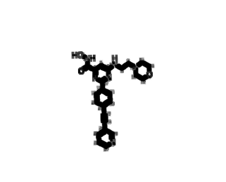 O=C(NO)c1cc(NCCN2CCOCC2)nc(-c2ccc(C#Cc3cccnc3)cc2)n1